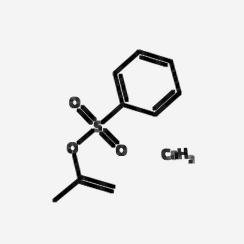 C=C(C)OS(=O)(=O)c1ccccc1.[CaH2]